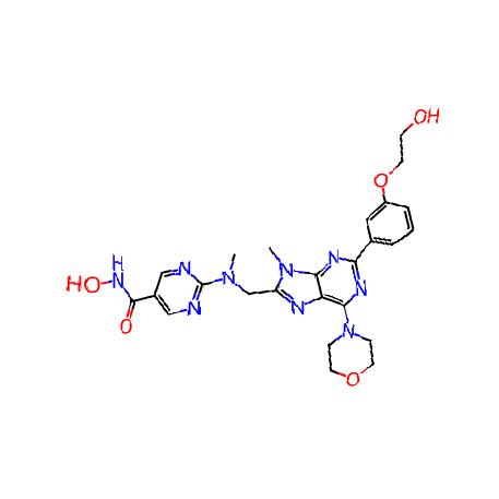 CN(Cc1nc2c(N3CCOCC3)nc(-c3cccc(OCCO)c3)nc2n1C)c1ncc(C(=O)NO)cn1